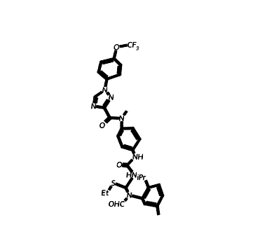 CCSC(NC(=O)Nc1ccc(N(C)C(=O)c2ncn(-c3ccc(OC(F)(F)F)cc3)n2)cc1)N(C=O)c1cc(C)ccc1C(C)C